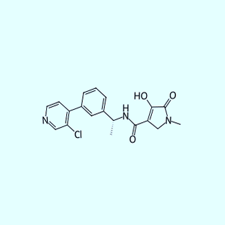 C[C@@H](NC(=O)C1=C(O)C(=O)N(C)C1)c1cccc(-c2ccncc2Cl)c1